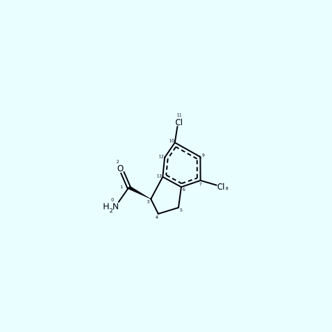 NC(=O)[C@@H]1CCc2c(Cl)cc(Cl)cc21